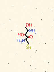 NC(CO)C(O)C(=O)[C@@H](N)CS